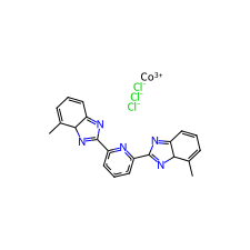 CC1=CC=CC2=NC(c3cccc(C4=NC5C(C)=CC=CC5=N4)n3)=NC12.[Cl-].[Cl-].[Cl-].[Co+3]